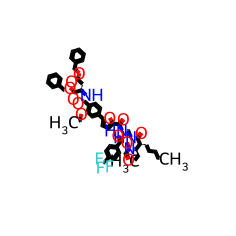 CCCCC[C@@H](C(=O)NCNC(=O)c1ccc(-c2ccc(C(=O)N[C@@H](CC(=O)OCc3ccccc3)C(=O)OCc3ccccc3)c(OCC)c2)o1)[C@@H](CC)N(C=O)OC(=O)c1ccc(C(F)(F)F)cc1